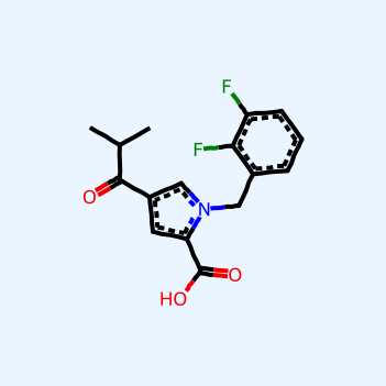 CC(C)C(=O)c1cc(C(=O)O)n(Cc2cccc(F)c2F)c1